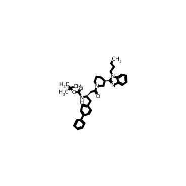 CCCCn1c([C@@H]2CCCN(C(=O)C[C@@H](Cc3ccc(-c4ccccc4)cc3)NC(=O)OC(C)(C)C)C2)nc2ccccc21